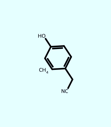 C.N#CCc1ccc(O)cc1